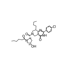 CCCCCC(=O)N1C[C@H](O)C[C@H]1C(=O)N1Cc2c(nc(-c3ccc(Cl)cc3)[nH]c2=O)C(CCCC)C1